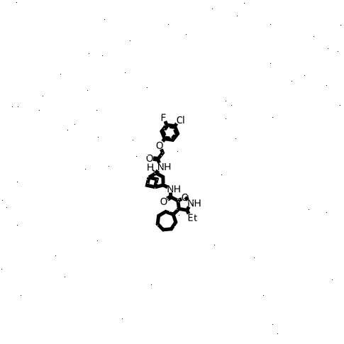 CCC1NOC(C(=O)NC2C[C@H](NC(=O)COc3ccc(Cl)c(F)c3)C3CC2C3)C1C1CCCCCC1